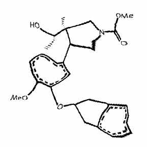 COC(=O)N1CC(c2ccc(OC)c(OC3Cc4ccccc4C3)c2)[C@@](C)([C@H](C)O)C1